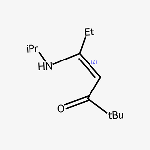 CC/C(=C/C(=O)C(C)(C)C)NC(C)C